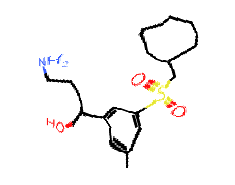 Cc1cc(C(O)CCN)cc(S(=O)(=O)CC2CCCCC2)c1